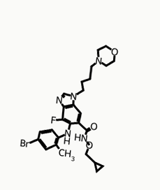 Cc1cc(Br)ccc1Nc1c(C(=O)NOCC2CC2)cc2c(ncn2CCCCN2CCOCC2)c1F